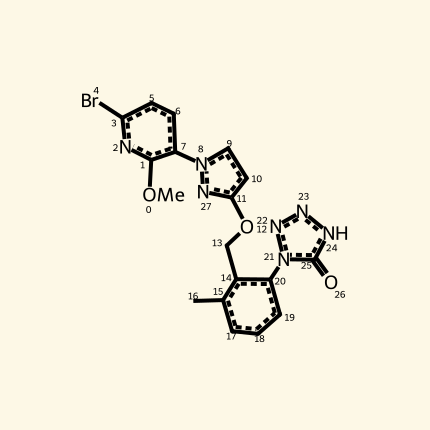 COc1nc(Br)ccc1-n1ccc(OCc2c(C)cccc2-n2nn[nH]c2=O)n1